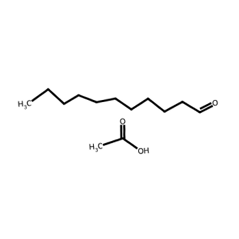 CC(=O)O.CCCCCCCCCCC=O